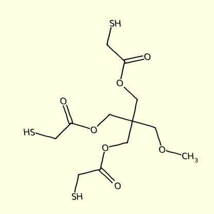 COCC(COC(=O)CS)(COC(=O)CS)COC(=O)CS